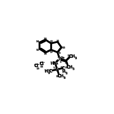 C[C](C)=[Ti+2]([NH][Si](C)(C)C)[CH]1CCC2C=CC=CC21.[Cl-].[Cl-]